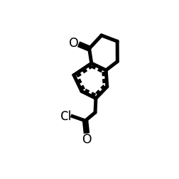 O=C(Cl)Cc1ccc2c(c1)CCCC2=O